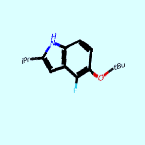 CC(C)c1cc2c(F)c(OC(C)(C)C)ccc2[nH]1